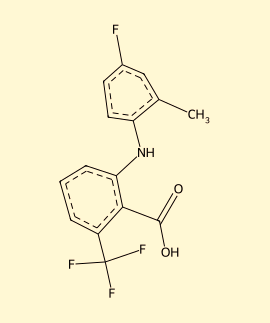 Cc1cc(F)ccc1Nc1cccc(C(F)(F)F)c1C(=O)O